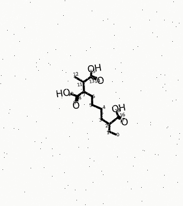 CCC(CCCCC(C(=O)O)C(C)C(=O)O)C(=O)O